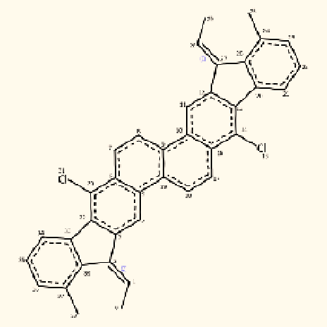 C/C=C1/c2cc3c(ccc4c5cc6c(c(Cl)c5ccc34)-c3cccc(C)c3/C6=C\C)c(Cl)c2-c2cccc(C)c21